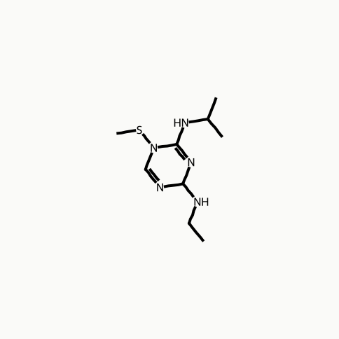 CCNC1N=CN(SC)C(NC(C)C)=N1